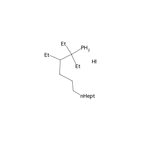 CCCCCCCCCCC(CC)C(P)(CC)CC.I